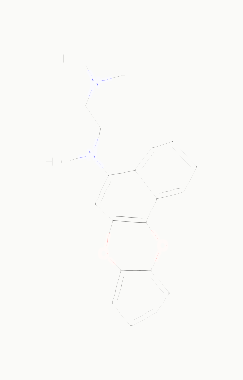 CN(C)CCN(C)c1cc2c(c3ccccc13)Oc1ccccc1O2